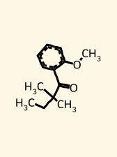 CCC(C)(C)C(=O)c1ccccc1OC